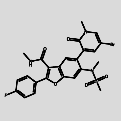 CNC(=O)c1c(-c2ccc(F)cc2)oc2cc(N(C)S(C)(=O)=O)c(-c3cc(Br)cn(C)c3=O)cc12